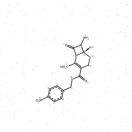 NC1C(=O)N2C(C(=O)O)=C(C(=O)OCc3ccc([N+](=O)[O-])cc3)CS[C@@H]12